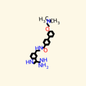 CN(C)CCOc1cccc(-c2ccc(C(=O)NCCc3ccc4[nH]cc(C(=N)N)c4c3)cc2)c1